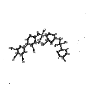 Cc1ccc(C(F)(F)Oc2ccc(C(F)(F)Oc3ccc(-c4cc(F)c(F)c(F)c4)c(F)c3F)c(F)c2)cc1